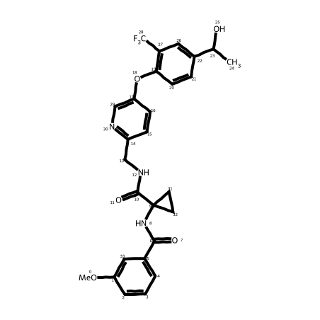 COc1cccc(C(=O)NC2(C(=O)NCc3ccc(Oc4ccc(C(C)O)cc4C(F)(F)F)cn3)CC2)c1